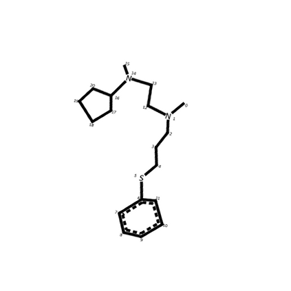 CN(CCCSc1ccccc1)CCN(C)C1CCCC1